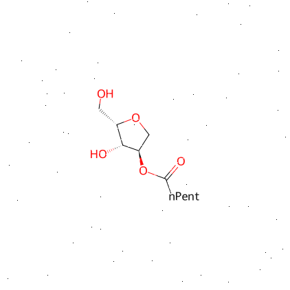 CCCCCC(=O)O[C@@H]1CO[C@@H](CO)[C@H]1O